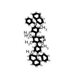 Cc1cc(N(c2ccccc2)c2cccc3ccccc23)c(C)cc1-c1c(C)c(C)c(-c2cc(C)c(N(c3ccccc3)c3cccc4ccccc34)cc2C)c2nsnc12